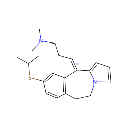 CC(C)Sc1ccc2c(c1)/C(=C\CCN(C)C)c1cccn1CC2